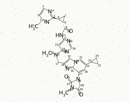 Cc1ccnc([C@H]2C[C@@H]2C(=O)Nc2cc(N(C)Cc3cn4cc(C5CC5)cc(N5CC(=O)N(C)C5=O)c4n3)ncn2)n1